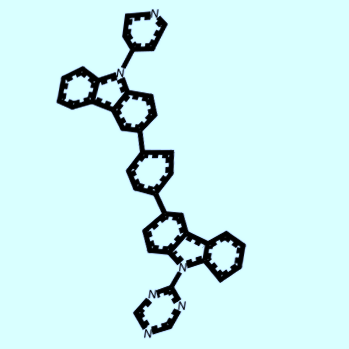 c1ccc2c(c1)c1cc(-c3ccc(-c4ccc5c(c4)c4ccccc4n5-c4ncncn4)cc3)ccc1n2-c1ccncc1